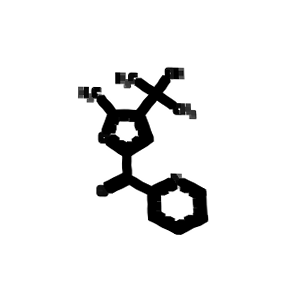 Cc1oc(C(=O)c2ccccn2)cc1C(C)(C)O